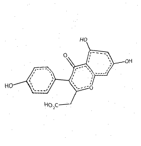 O=C(O)Cc1oc2cc(O)cc(O)c2c(=O)c1-c1ccc(O)cc1